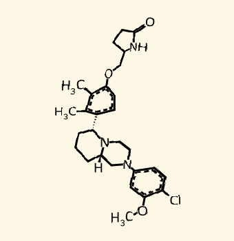 COc1cc(N2CCN3[C@@H](CCC[C@@H]3c3ccc(OCC4CCC(=O)N4)c(C)c3C)C2)ccc1Cl